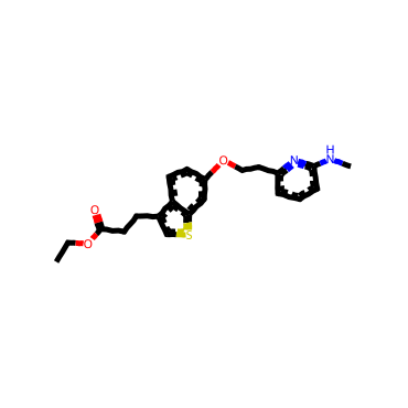 CCOC(=O)CCc1csc2cc(OCCc3cccc(NC)n3)ccc12